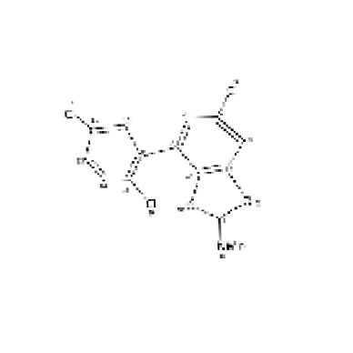 CNC1Oc2cc(Cl)cc(-c3cc(Cl)ccc3Cl)c2O1